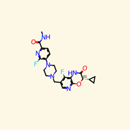 CNC(=O)c1ccc(N2CCN(Cc3cnc4c(c3F)NC(=O)[C@H](C3CC3)O4)CC2)c(F)n1